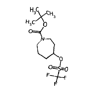 CC(C)(C)OC(=O)N1CCCC(OS(=O)(=O)C(F)(F)F)CC1